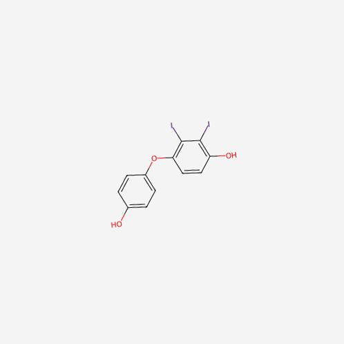 Oc1ccc(Oc2ccc(O)c(I)c2I)cc1